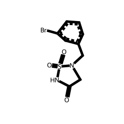 O=C1CN(Cc2cccc(Br)c2)S(=O)(=O)N1